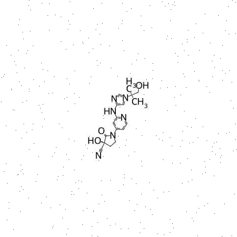 CC(C)(CO)n1cnc(Nc2cc(N3CC[C@](O)(C#N)C3=O)ccn2)c1